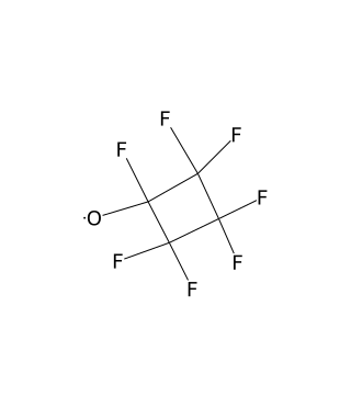 [O]C1(F)C(F)(F)C(F)(F)C1(F)F